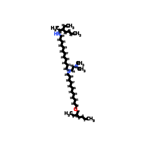 CCCCC(CC)COCCCCCCCCCCCCN(CCCCCCCCCCCCNC(C)C(CC)CCCC)CCN(C)C